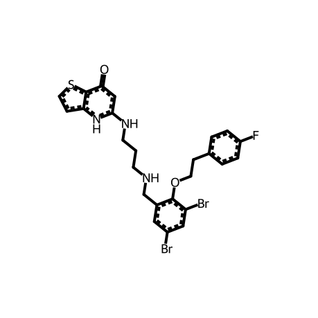 O=c1cc(NCCCNCc2cc(Br)cc(Br)c2OCCc2ccc(F)cc2)[nH]c2ccsc12